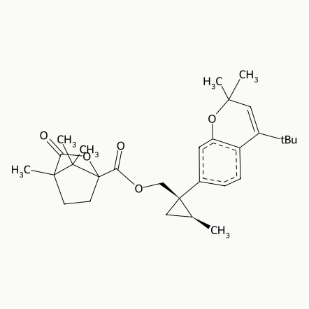 C[C@H]1C[C@]1(COC(=O)C12CCC(C)(C(=O)O1)C2(C)C)c1ccc2c(c1)OC(C)(C)C=C2C(C)(C)C